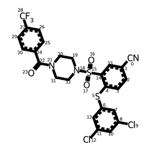 N#Cc1ccc(Sc2cc(Cl)cc(Cl)c2)c(S(=O)(=O)N2CCN(C(=O)c3ccc(C(F)(F)F)cc3)CC2)c1